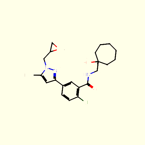 Cc1cc(-c2ccc(Cl)c(C(=O)NCC3(O)CCCCCC3)c2)nn1CC1CO1